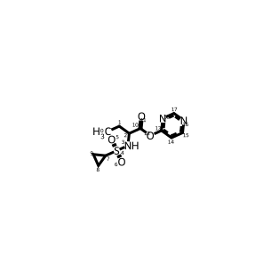 CCC(NS(=O)(=O)C1CC1)C(=O)Oc1ccncn1